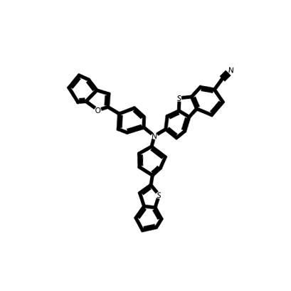 N#Cc1ccc2c(c1)sc1cc(N(c3ccc(-c4cc5ccccc5o4)cc3)c3ccc(-c4cc5ccccc5s4)cc3)ccc12